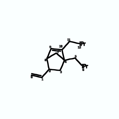 C=CC1CC2(CC(C)C)CC1C=C2CC(C)C